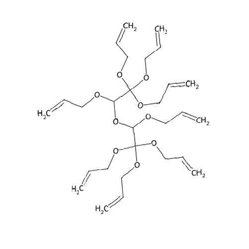 C=CCOC(OC(OCC=C)C(OCC=C)(OCC=C)OCC=C)C(OCC=C)(OCC=C)OCC=C